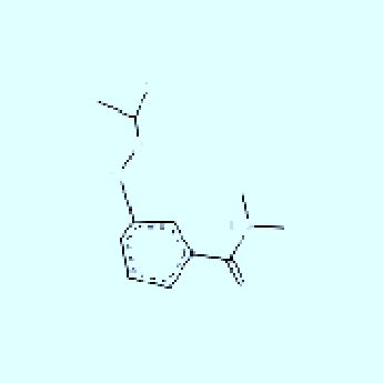 C=C(c1cccc([SiH2]OC(C)C)c1)[SiH](C)C